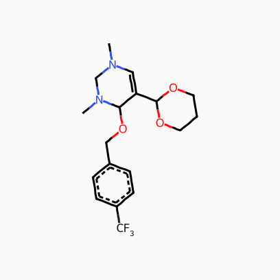 CN1C=C(C2OCCCO2)C(OCc2ccc(C(F)(F)F)cc2)N(C)C1